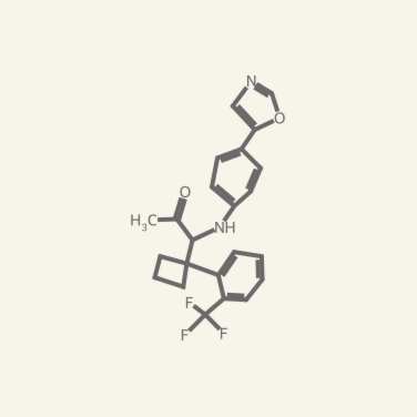 CC(=O)C(Nc1ccc(-c2cnco2)cc1)C1(c2ccccc2C(F)(F)F)CCC1